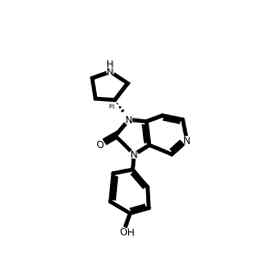 O=c1n(-c2ccc(O)cc2)c2cnccc2n1[C@@H]1CCNC1